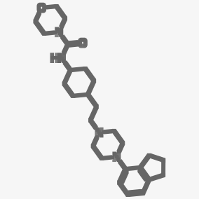 O=C(NC1CCC(CCN2CCN(c3cccc4c3CCC4)CC2)CC1)N1CCOCC1